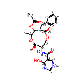 CC(C)C(=O)O[C@H]1[C@H](C)OC(=O)[C@@H](NC(=O)c2cncnc2O)COC(=O)[C@@H]1Cc1ccccc1